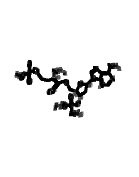 Nc1ncnc2c1ncn2[C@H]1C[C@H](OP(N)(=O)O)[C@@H](COC(=O)[C@@H](N)COS(=O)(=O)O)O1